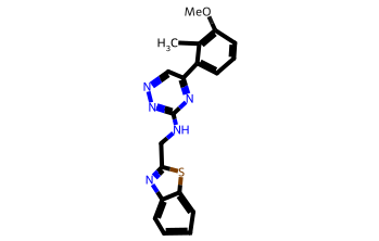 COc1cccc(-c2cnnc(NCc3nc4ccccc4s3)n2)c1C